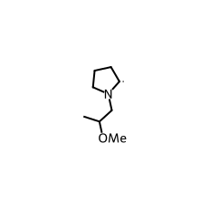 COC(C)CN1[CH]CCC1